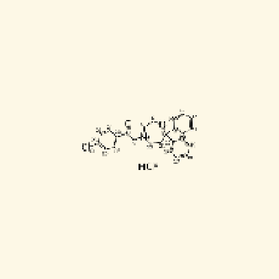 Cl.O=C(CN1CCOC(c2ccccc2)(c2ccccc2)CC1)c1ccc(Cl)cc1